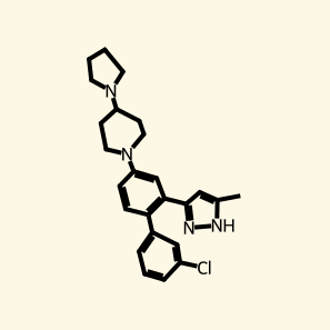 Cc1cc(-c2cc(N3CCC(N4CCCC4)CC3)ccc2-c2cccc(Cl)c2)n[nH]1